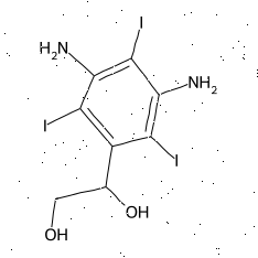 Nc1c(I)c(N)c(I)c(C(O)CO)c1I